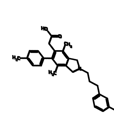 Cc1ccc(-c2c(C)c3c(c(C)c2CC(=O)O)CN(CCCc2cccc(F)c2)C3)cc1